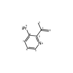 C=C(C)c1ncccc1C(C)C